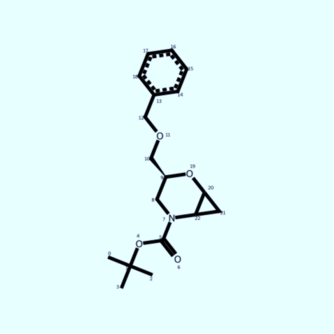 CC(C)(C)OC(=O)N1C[C@@H](COCc2ccccc2)OC2CC21